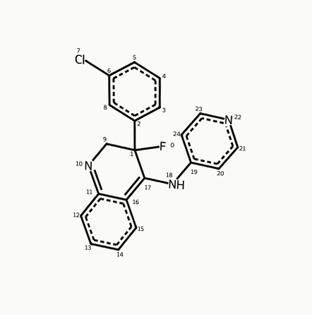 FC1(c2cccc(Cl)c2)CN=c2ccccc2=C1Nc1ccncc1